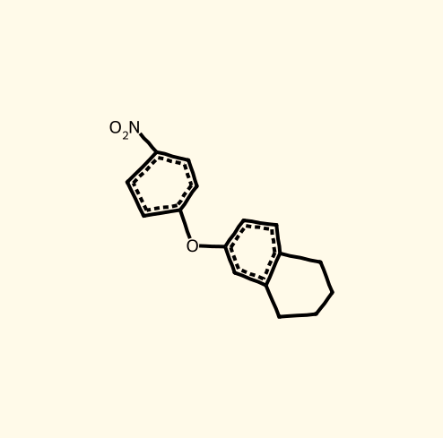 O=[N+]([O-])c1ccc(Oc2ccc3c(c2)CCCC3)cc1